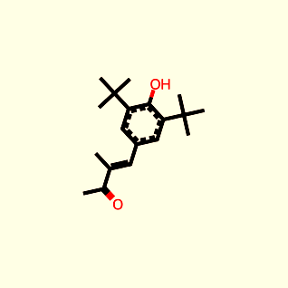 CC(=O)/C(C)=C/c1cc(C(C)(C)C)c(O)c(C(C)(C)C)c1